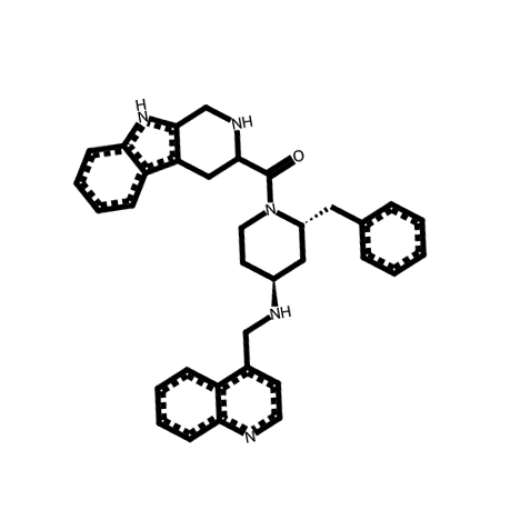 O=C(C1Cc2c([nH]c3ccccc23)CN1)N1CC[C@H](NCc2ccnc3ccccc23)C[C@H]1Cc1ccccc1